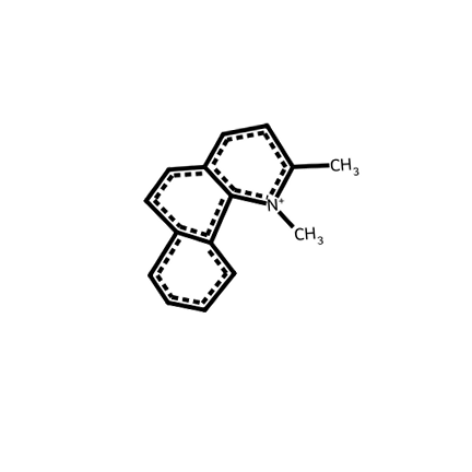 Cc1ccc2ccc3ccccc3c2[n+]1C